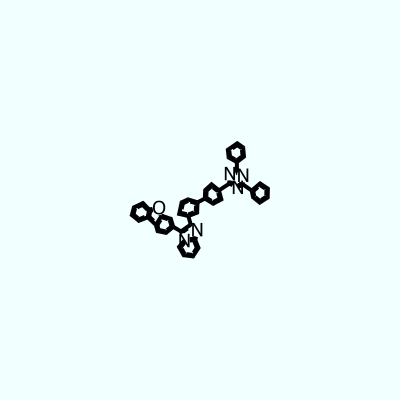 c1ccc(-c2nc(-c3ccccc3)nc(-c3ccc(-c4cccc(-c5nc6ccccn6c5-c5ccc6c(c5)oc5ccccc56)c4)cc3)n2)cc1